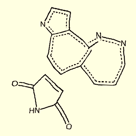 O=C1C=CC(=O)N1.c1cnnc2c(c1)ccc1nccc12